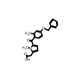 Cc1cc(OCc2ccccc2)ccc1C(=O)c1ccc(CC(=O)O)n1C